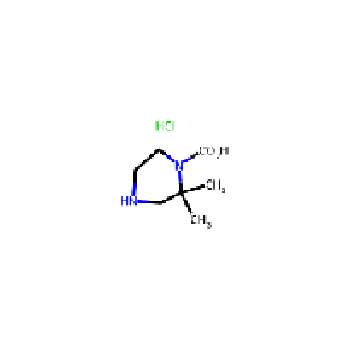 CC1(C)CNCCN1C(=O)O.Cl